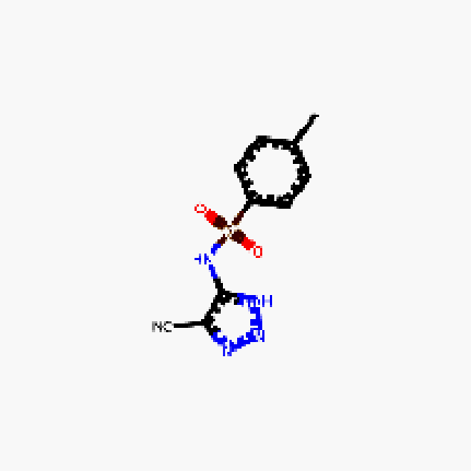 Cc1ccc(S(=O)(=O)Nc2[nH]nnc2C#N)cc1